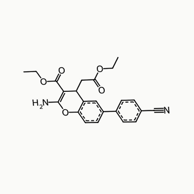 CCOC(=O)CC1C(C(=O)OCC)=C(N)Oc2ccc(-c3ccc(C#N)cc3)cc21